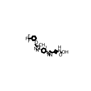 Cn1c(COc2cccc(C(F)(F)F)c2)nnc1[C@H]1CC[C@H](n2cc(C34CC(NC(=O)O)(C3)C4)nn2)CC1